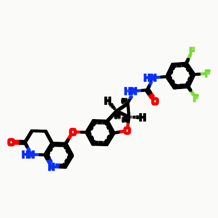 O=C1CCc2c(Oc3ccc4c(c3)[C@H]3[C@H](NC(=O)Nc5cc(F)c(F)c(F)c5)[C@H]3O4)ccnc2N1